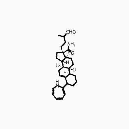 CC(C=O)CC[C@]1(C(N)=O)CC[C@H]2[C@@H]3CC=C4C(C5=CC=CC=CN5)CCC[C@]4(C)[C@H]3CC[C@@]21C